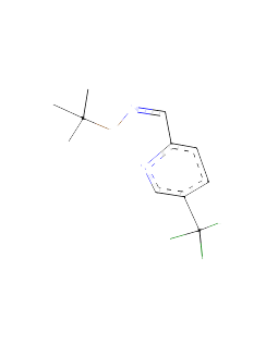 CC(C)(C)S/N=C\c1ccc(C(F)(F)F)cn1